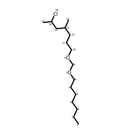 CCCCCCCOCOCCCC(C)CC(C)Cl